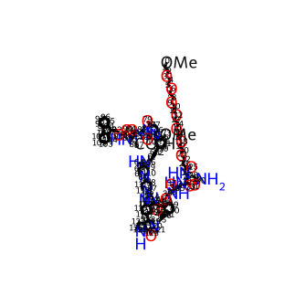 COCCOCCOCCOCCOCCOCCOCCOCCC(=O)N[C@@H](CC(N)=O)C(=O)NCC(=O)NCOC[C@](OC1CC1)(c1ccccc1)c1nc(N2CCC(N3CCC(C)(NCC#Cc4ccc(OC)c(N5CCC(=O)N(CNC(=O)[C@H](CC(=O)O)NC(=O)OCC6c7ccccc7-c7ccccc76)C5=O)c4)CC3)CC2)nc2ccc(-c3cn(C)c(=O)c4[nH]ccc34)cc12